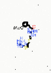 COc1cccc(Cc2nnc(NCCSCc3csc(NC(=N)N)n3)[nH]c2=O)c1